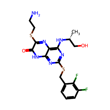 C[C@H](CO)Nc1nc(SCc2cccc(F)c2F)nc2[nH]c(=O)c(SCCN)nc12